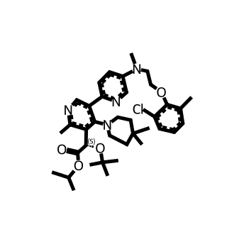 Cc1cccc(Cl)c1OCCN(C)c1ccc(-c2cnc(C)c([C@H](OC(C)(C)C)C(=O)OC(C)C)c2N2CCC(C)(C)CC2)nc1